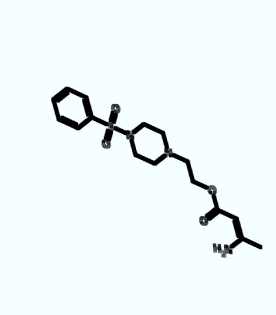 CC(N)=CC(=O)OCCN1CCN(S(=O)(=O)c2ccccc2)CC1